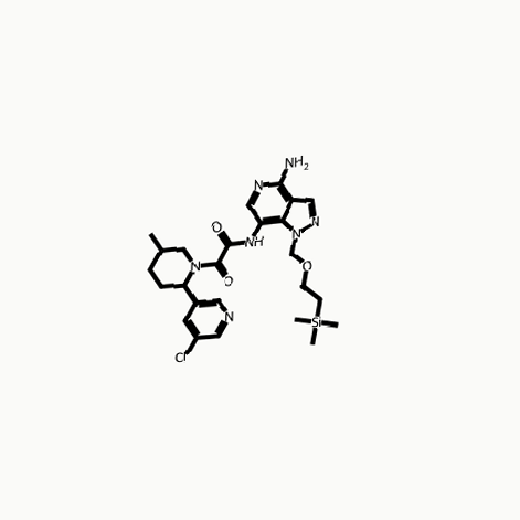 CC1CCC(c2cncc(Cl)c2)N(C(=O)C(=O)Nc2cnc(N)c3cnn(COCC[Si](C)(C)C)c23)C1